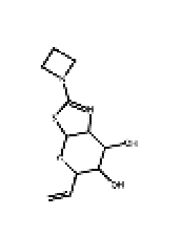 C=CC1OC2SC(N3CCC3)=NC2C(O)C1O